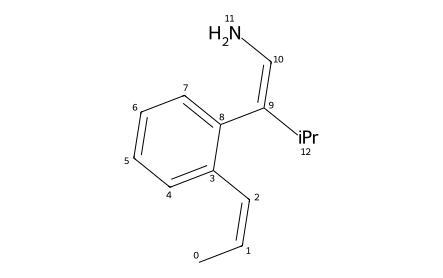 C/C=C\c1ccccc1/C(=C\N)C(C)C